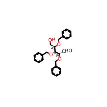 O=C[C@H](OCc1ccccc1)[C@H](OCc1ccccc1)[C@@H](CO)OCc1ccccc1